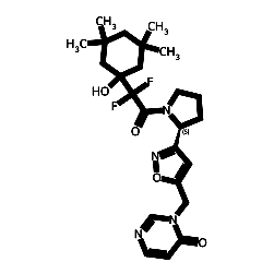 CC1(C)CC(C)(C)CC(O)(C(F)(F)C(=O)N2CCC[C@H]2c2cc(Cn3cnccc3=O)on2)C1